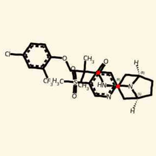 CC(C)(COc1ccc(Cl)cc1C(F)(F)F)C(=O)N[C@H]1C[C@H]2CC[C@@H](C1)N2c1ccc(S(C)(=O)=O)cn1